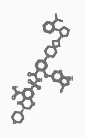 CC(C)c1ccccc1[C@H]1CCCN1C1CC2(CCN(c3ccc(C(=O)NS(=O)(=O)c4cc5c(c([N+](=O)[O-])c4)N[C@@H](C4CCOCC4)CO5)c(Oc4cnc5[nH]cc(F)c5c4)c3)CC2)C1